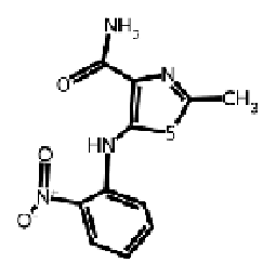 Cc1nc(C(N)=O)c(Nc2ccccc2[N+](=O)[O-])s1